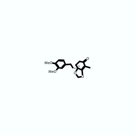 COc1ccc(CC[C@]23CCC(=O)C(C)=C2OCO3)cc1OC